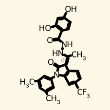 C/C(NNC(=O)c1ccc(O)cc1O)=C1/C(=O)N(c2cc(C)cc(C)c2)c2cc(C(F)(F)F)ccc21